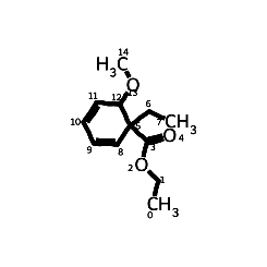 CCOC(=O)C1(CC)C=CC=CC1OC